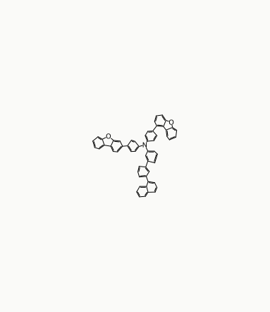 c1cc(-c2cccc(N(c3ccc(-c4ccc5c(c4)oc4ccccc45)cc3)c3ccc(-c4cccc5oc6ccccc6c45)cc3)c2)cc(-c2cccc3ccccc23)c1